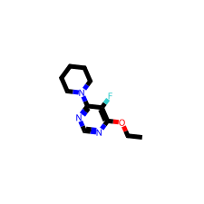 CCOc1ncnc(N2CCCCC2)c1F